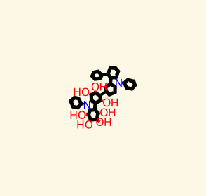 Oc1c(O)c(O)c2c(c1O)c1c(O)c(-c3ccc4c(c3)c3c(-c5ccccc5)cccc3n4-c3ccccc3)c(O)c(O)c1n2-c1ccccc1